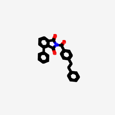 O=C(c1ccc(CCc2ccccc2)cc1)N1C(=O)c2cccc(-c3ccccc3)c2C1=O